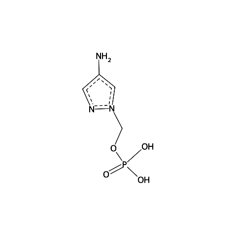 Nc1cnn(COP(=O)(O)O)c1